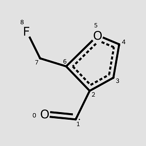 O=[C]c1ccoc1CF